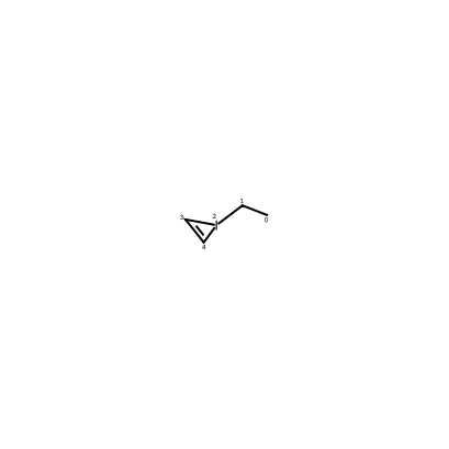 CCI1C=C1